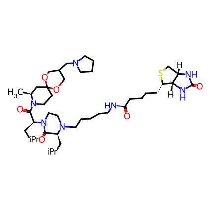 CC(C)C[C@H]1C(=O)N([C@@H](CC(C)C)C(=O)N2CCC3(C[C@@H]2C)OCC(CN2CCCC2)CO3)CCN1CCCCCNC(=O)CCCC[C@@H]1SC[C@@H]2NC(=O)N[C@@H]21